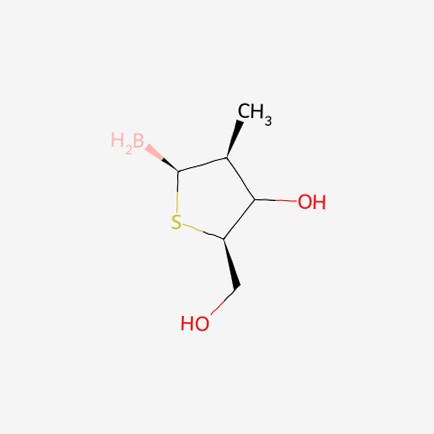 B[C@@H]1S[C@H](CO)C(O)[C@@H]1C